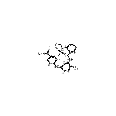 [2H]CN(c1nccnc1CNc1nc(Nc2ccc(C(=O)NC)cc2)ncc1C(F)(F)F)S(C)(=O)=O